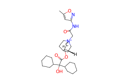 Cc1cc(NC(=O)C[N+]23CCC(CC2)[C@@H](OC(=O)C(O)(C2CCCCC2)C2CCCCC2)C3)no1